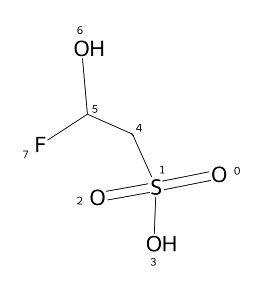 O=S(=O)(O)CC(O)F